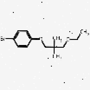 CCOCC(C)(C)COc1ccc(Br)cc1